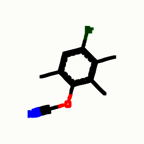 Cc1cc(Br)c(C)c(C)c1OC#N